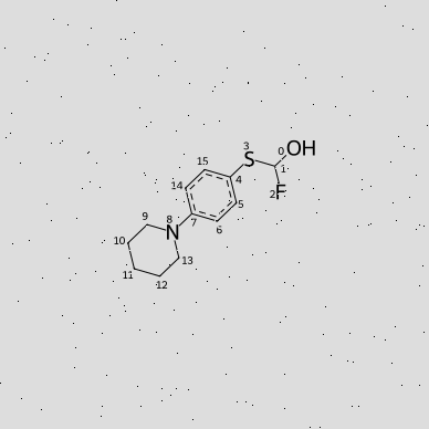 OC(F)Sc1ccc(N2CCCCC2)cc1